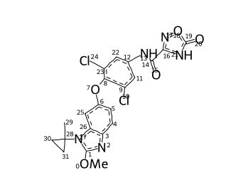 COc1nc2ccc(Oc3c(Cl)cc(NC(=O)c4noc(=O)[nH]4)cc3Cl)cc2n1C1(C)CC1